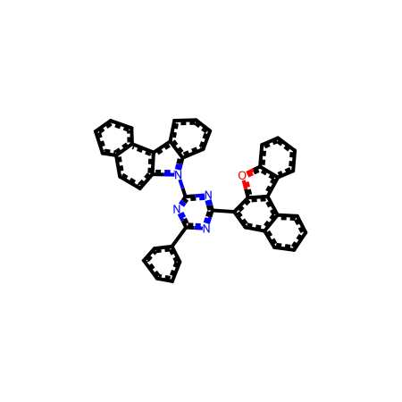 c1ccc(-c2nc(-c3cc4ccccc4c4c3oc3ccccc34)nc(-n3c4ccccc4c4c5ccccc5ccc43)n2)cc1